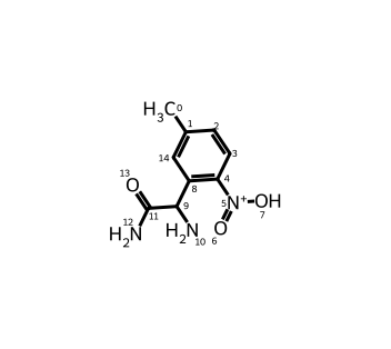 Cc1ccc([N+](=O)O)c(C(N)C(N)=O)c1